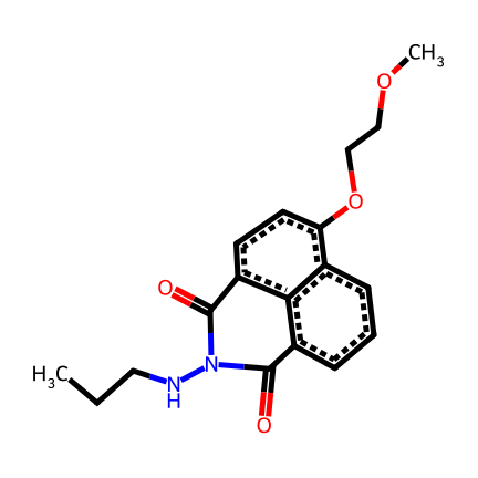 CCCNN1C(=O)c2cccc3c(OCCOC)ccc(c23)C1=O